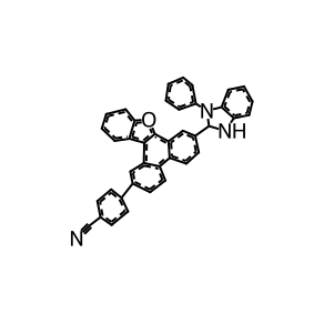 N#Cc1ccc(-c2ccc3c4ccc(C5Nc6ccccc6N5c5ccccc5)cc4c4oc5ccccc5c4c3c2)cc1